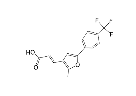 Cc1oc(-c2ccc(C(F)(F)F)cc2)cc1C=CC(=O)O